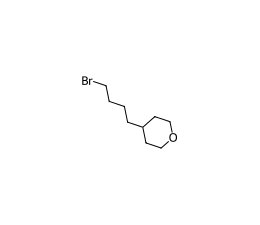 BrCCCCC1CCOCC1